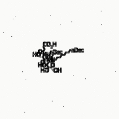 CCCCCCCCCCCCCCCCCCN(C(=O)CCCCCCCCCCC)[C@@H]1O[C@H](CO)[C@@H](O)[C@H](O)[C@@H]1NC(=O)[C@H](CO)NC(=O)CCC(=O)O